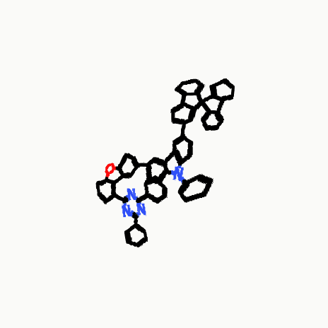 c1ccc(-c2nc(-c3ccccc3)nc(-c3cccc4oc5ccc(-c6ccc7c(c6)c6cc(-c8ccc9c(c8)C8(c%10ccccc%10-c%10ccccc%108)c8ccccc8-9)ccc6n7-c6ccccc6)cc5c34)n2)cc1